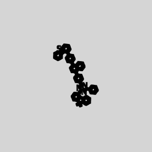 CC1(C)c2ccccc2-c2c(-c3nc(-c4ccccc4)nc(-c4ccc(-c5ccc(-c6ccc(-c7cccc8sc9ccccc9c78)cc6)c6ccccc56)cc4)n3)cccc21